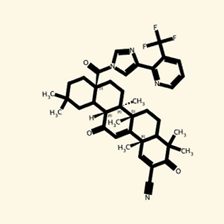 CC1(C)CC[C@]2(C(=O)n3cnc(-c4ncccc4C(F)(F)F)c3)CC[C@]3(C)[C@H](C(=O)C=C4[C@@]5(C)C=C(C#N)C(=O)C(C)(C)C5CC[C@]43C)C2C1